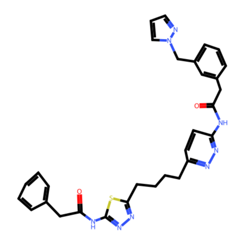 O=C(Cc1cccc(Cn2cccn2)c1)Nc1ccc(CCCCc2nnc(NC(=O)Cc3ccccc3)s2)nn1